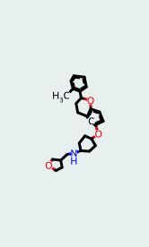 Cc1ccccc1C1CCc2cc(OC3CCC(NCC4CCOC4)CC3)ccc2O1